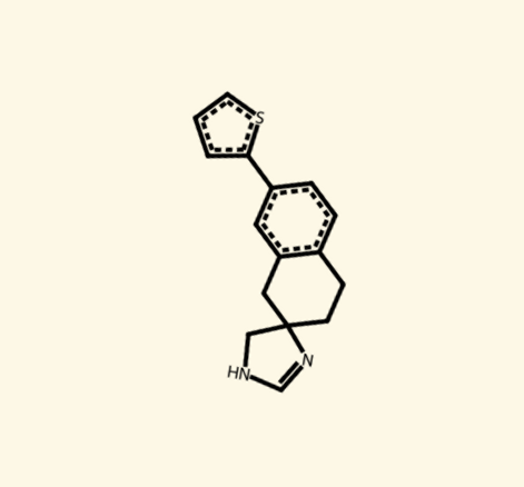 C1=NC2(CCc3ccc(-c4cccs4)cc3C2)CN1